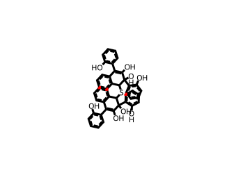 OC1=C(c2ccccc2O)c2ccccc2C(SC2c3ccccc3C(c3ccccc3O)=C(O)C2(O)c2ccccc2O)C1(O)c1ccccc1O